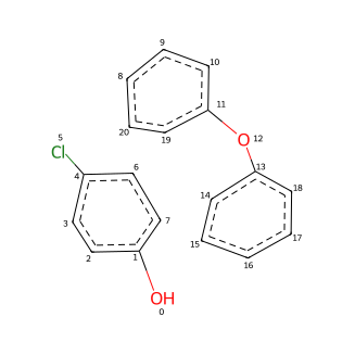 Oc1ccc(Cl)cc1.c1ccc(Oc2ccccc2)cc1